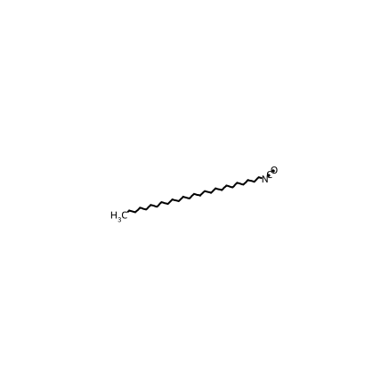 CCCCCCCCCCCCCCCCCCCCCCCCCCN=C=O